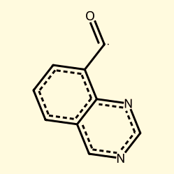 O=[C]c1cccc2cncnc12